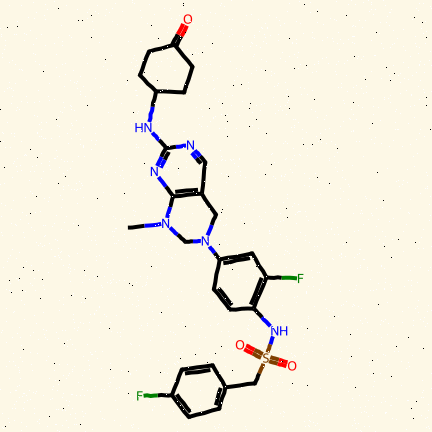 CN1CN(c2ccc(NS(=O)(=O)Cc3ccc(F)cc3)c(F)c2)Cc2cnc(NC3CCC(=O)CC3)nc21